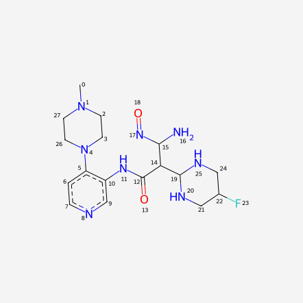 CN1CCN(c2ccncc2NC(=O)C(C(N)N=O)C2NCC(F)CN2)CC1